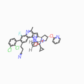 Cc1nc2c(F)c(-c3cccc(Cl)c3Cl)c(CCC#N)cc2c2c1cc([C@H]1C[C@H](Oc3ccccn3)CN1C(=O)C1CC1)n2[C@H]1[C@H]2CN[C@@H]1C2